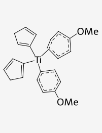 COc1cc[c]([Ti]([C]2=CCC=C2)([C]2=CCC=C2)[c]2ccc(OC)cc2)cc1